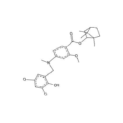 COc1cc(N(C)Cc2cc(Cl)cc(Cl)c2O)ccc1C(=O)OC1CC2CCC1(C)C2(C)C